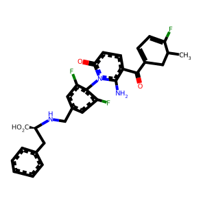 CC1CC(C(=O)c2ccc(=O)n(-c3c(F)cc(CN[C@@H](Cc4ccccc4)C(=O)O)cc3F)c2N)=CC=C1F